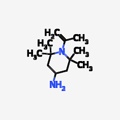 C=C(C)N1C(C)(C)CC(N)CC1(C)C